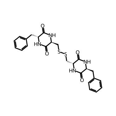 O=C1N[C@H](CSSC[C@@H]2NC(=O)[C@@H](Cc3ccccc3)NC2=O)C(=O)N[C@H]1Cc1ccccc1